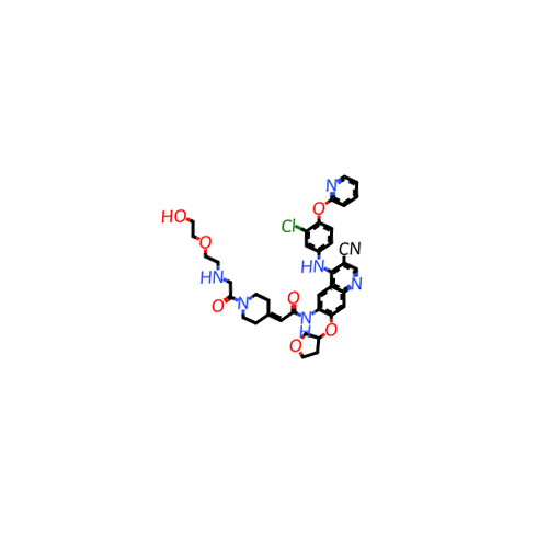 N#Cc1cnc2cc(OC3CCOC3)c(NC(=O)C=C3CCN(C(=O)CNCCOCCO)CC3)cc2c1Nc1ccc(Oc2ccccn2)c(Cl)c1